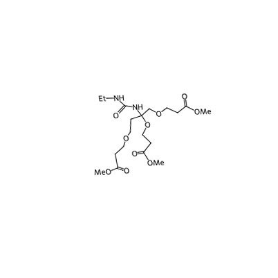 CCNC(=O)NC(CCOCCC(=O)OC)(COCCC(=O)OC)OCCC(=O)OC